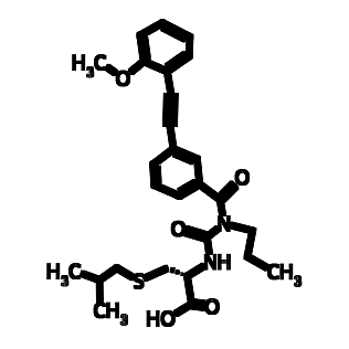 CCCN(C(=O)N[C@@H](CSCC(C)C)C(=O)O)C(=O)c1cccc(C#Cc2ccccc2OC)c1